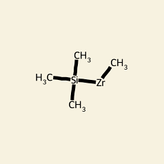 [CH3][Zr][Si](C)(C)C